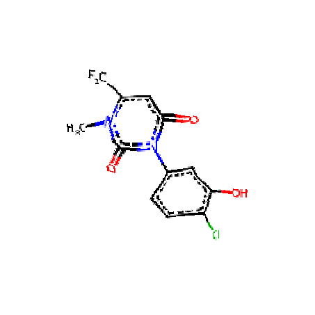 Cn1c(C(F)(F)F)cc(=O)n(-c2ccc(Cl)c(O)c2)c1=O